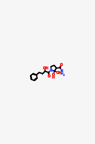 NC(=O)C1CCN(C(=O)C(O)[CH]Cc2ccccc2)C1(O)O